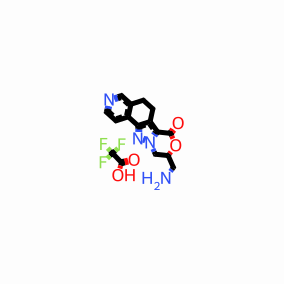 NCC1Cn2nc3c(c2C(=O)O1)CCc1cnccc1-3.O=C(O)C(F)(F)F